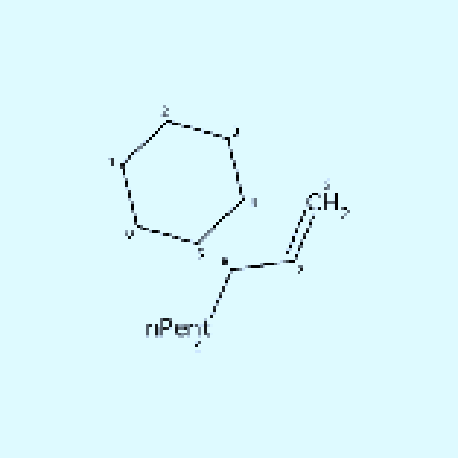 C1CCCCC1.C=CCCCCCC